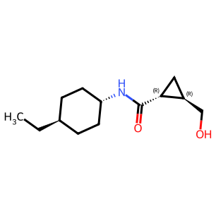 CC[C@H]1CC[C@H](NC(=O)[C@@H]2C[C@H]2CO)CC1